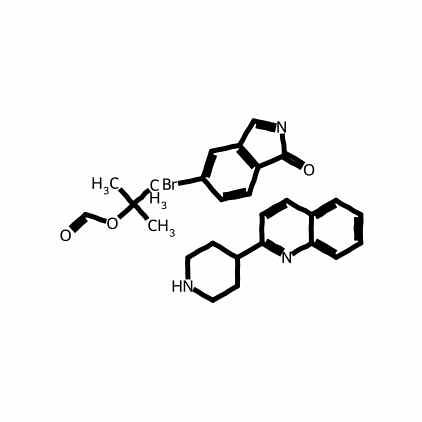 CC(C)(C)OC=O.O=C1N=Cc2cc(Br)ccc21.c1ccc2nc(C3CCNCC3)ccc2c1